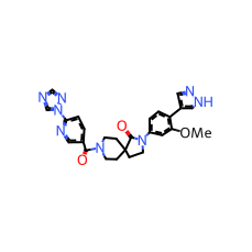 COc1cc(N2CCC3(CCN(C(=O)c4ccc(-n5cncn5)nc4)CC3)C2=O)ccc1-c1cn[nH]c1